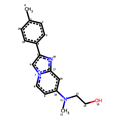 Cc1ccc(-c2cn3ccc(N(C)CCO)cc3n2)cc1